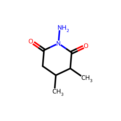 CC1CC(=O)N(N)C(=O)C1C